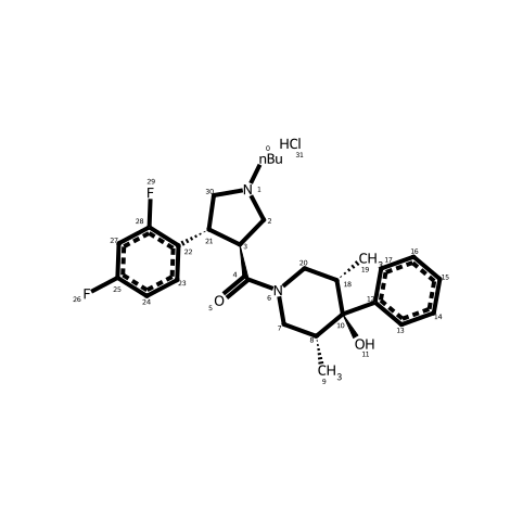 CCCCN1C[C@@H](C(=O)N2C[C@@H](C)[C@@](O)(c3ccccc3)[C@@H](C)C2)[C@H](c2ccc(F)cc2F)C1.Cl